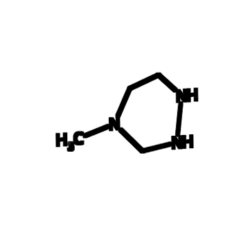 CN1CCNNC1